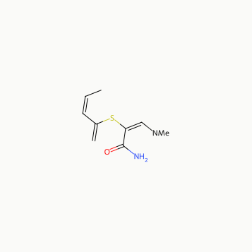 C=C(/C=C\C)S/C(=C/NC)C(N)=O